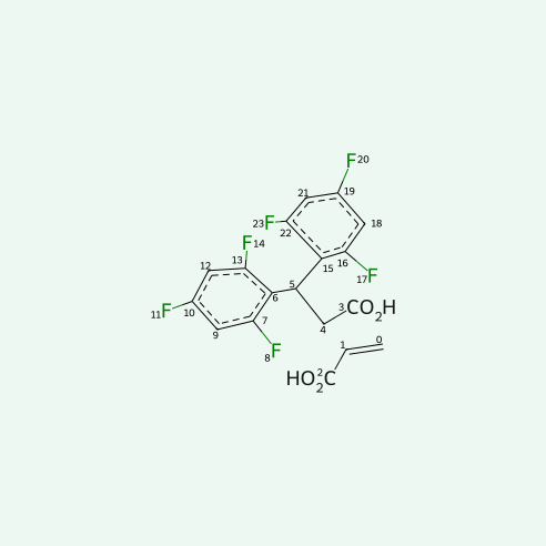 C=CC(=O)O.O=C(O)CC(c1c(F)cc(F)cc1F)c1c(F)cc(F)cc1F